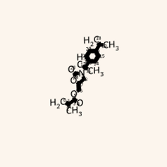 C=C(C)C(=O)OC=C1CN(C(C)(C)c2ccc(C(=C)C)cc2)C(=O)O1